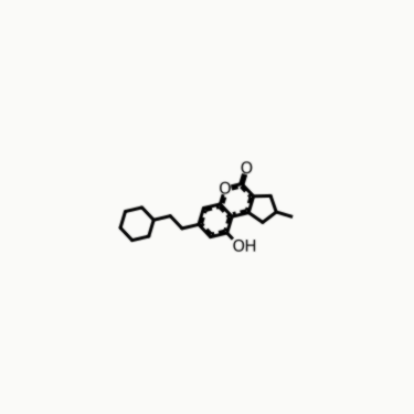 CC1Cc2c(c3c(O)cc(CCC4CCCCC4)cc3oc2=O)C1